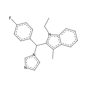 CCn1c(C(c2ccc(F)cc2)n2ccnc2)c(C)c2ccccc21